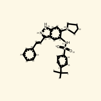 CC(C)(C)c1ccc(S(=O)(=O)Nc2cc3c(C=Cc4ccccc4)n[nH]c3cc2N2CCCC2)cc1